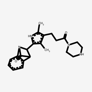 Cc1[nH]c(C2C3C(=O)N2c2ccccc23)c(C)c1CCC(=O)N1CCNCC1